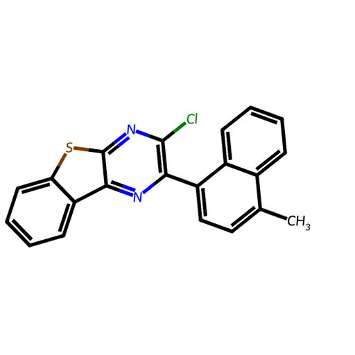 Cc1ccc(-c2nc3c(nc2Cl)sc2ccccc23)c2ccccc12